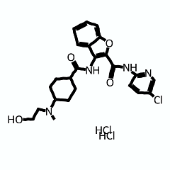 CN(CCO)C1CCC(C(=O)Nc2c(C(=O)Nc3ccc(Cl)cn3)oc3ccccc23)CC1.Cl.Cl